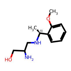 COc1ccccc1[C@H](C)NCC(N)CO